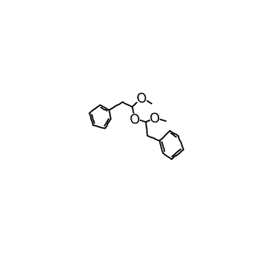 COC(Cc1ccccc1)OC(Cc1ccccc1)OC